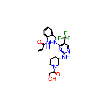 C=CC(=O)Nc1ccccc1CNc1nc(N[C@H]2CCCN(C(=O)CO)C2)ncc1C(F)(F)F